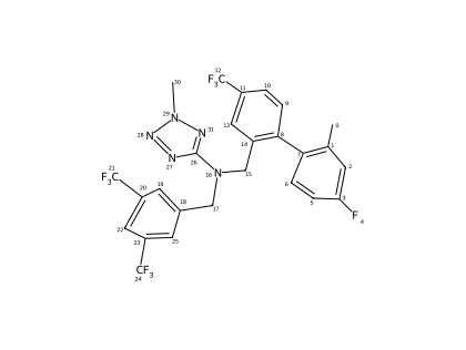 Cc1cc(F)ccc1-c1ccc(C(F)(F)F)cc1CN(Cc1cc(C(F)(F)F)cc(C(F)(F)F)c1)c1nnn(C)n1